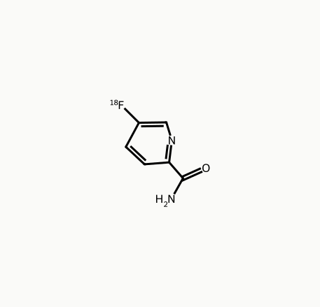 NC(=O)c1ccc([18F])cn1